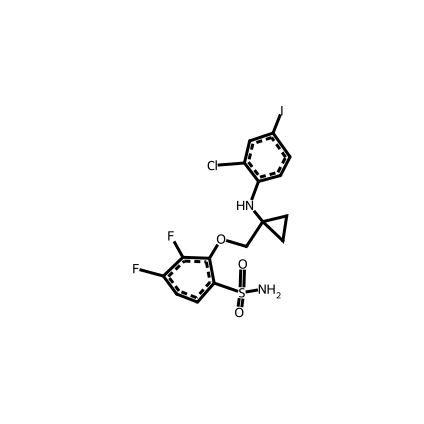 NS(=O)(=O)c1ccc(F)c(F)c1OCC1(Nc2ccc(I)cc2Cl)CC1